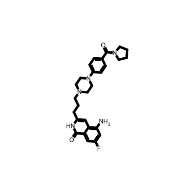 Nc1cc(F)cc2c(=O)[nH]c(CCCN3CCN(c4ccc(C(=O)N5CCCC5)cc4)CC3)cc12